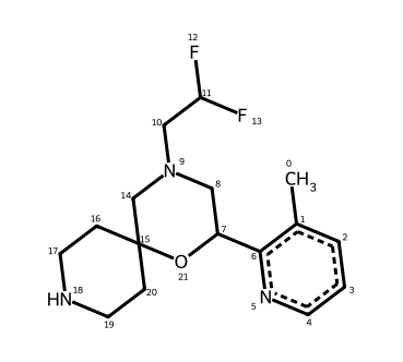 Cc1cccnc1C1CN(CC(F)F)CC2(CCNCC2)O1